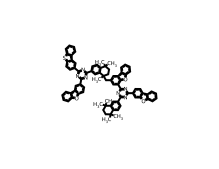 CC1(C)CCC(C)(C)c2cc(-c3nc(-c4ccc5c(c4)oc4ccccc45)nc(-c4cc(CC5(C)CCC(C)(C)c6ccc(-c7nc(-c8ccc9oc%10ccccc%10c9c8)nc(-c8ccc9sc%10ccccc%10c9c8)n7)cc65)cc5c4oc4ccccc45)n3)ccc21